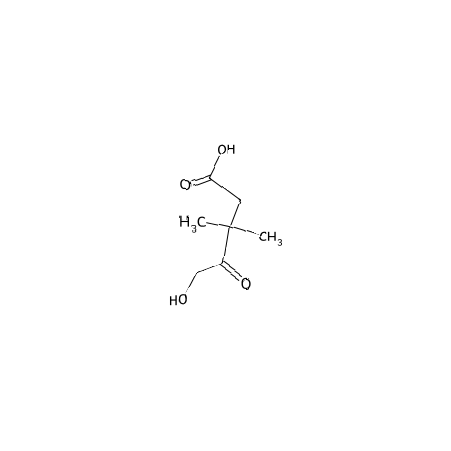 CC(C)(CC(=O)O)C(=O)CO